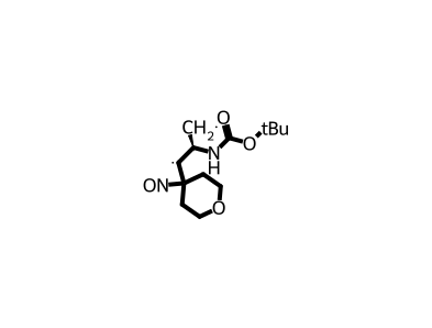 [CH2][C@H]([CH]C1(N=O)CCOCC1)NC(=O)OC(C)(C)C